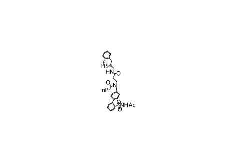 CCCC(=O)N(CCC(=O)NC[C@@H](S)Cc1ccccc1F)Cc1ccc(-c2ccccc2S(=O)(=O)NC(C)=O)cc1